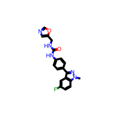 Cn1nc(-c2ccc(NC(=O)NCc3cnco3)cc2)c2cc(F)ccc21